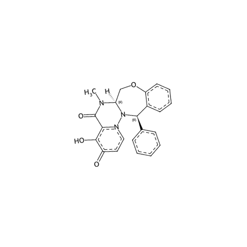 CN1C(=O)c2c(O)c(=O)ccn2N2[C@H](c3ccccc3)c3ccccc3OC[C@H]12